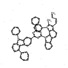 C=C/C=C\c1c(C)n(-c2ccccc2)c2c1ccc1c3ccccc3n(-c3nc(-c4ccccc4)nc(-c4ccc5c6c(-c7ccccc7)cccc6n(-c6ccccc6)c5c4)n3)c12